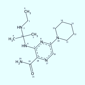 CCNC(C)(C)Nc1nc(N2CCCCC2)cnc1C(N)=O